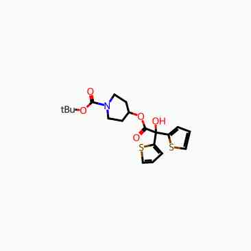 CC(C)(C)OC(=O)N1CCC(OC(=O)C(O)(c2cccs2)c2cccs2)CC1